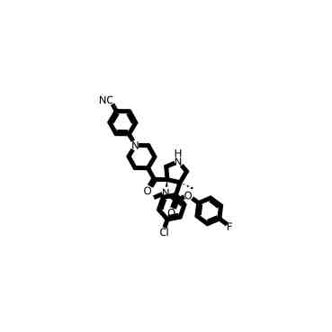 CN(C(=O)Oc1ccc(F)cc1)[C@]1(C(=O)C2CCN(c3ccc(C#N)cc3)CC2)CNC[C@@]1(C)c1ccc(Cl)cc1